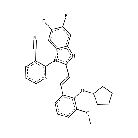 COc1cccc(/C=C/c2nc3cc(F)c(F)cc3n2-c2ncccc2C#N)c1OC1CCCC1